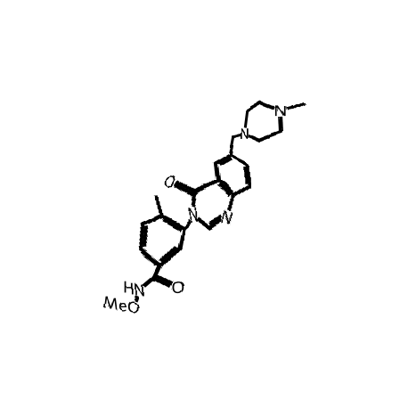 CONC(=O)c1ccc(C)c(-n2cnc3ccc(CN4CCN(C)CC4)cc3c2=O)c1